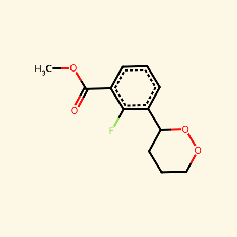 COC(=O)c1cccc(C2CCCOO2)c1F